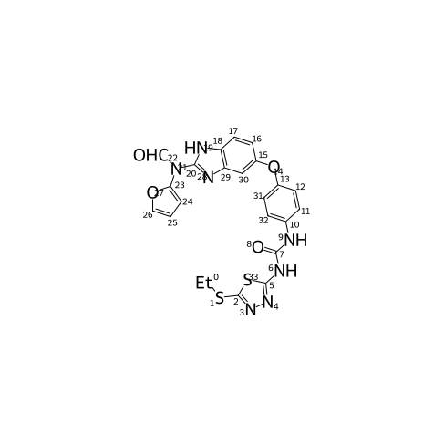 CCSc1nnc(NC(=O)Nc2ccc(Oc3ccc4[nH]c(N(C=O)c5ccco5)nc4c3)cc2)s1